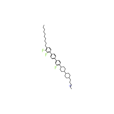 C/C=C/CCC1CCC(C2CCC(c3ccc(-c4ccc(-c5ccc(CCCCCCCCCC)c(F)c5F)cc4)cc3F)CC2)CC1